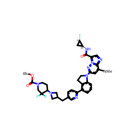 CNc1cc(N2CCc3c(-c4ccc(CC5CN(C6CCN(C(=O)OC(C)(C)C)CC6(F)F)C5)cn4)cccc32)nn2c(C(=O)N[C@@H]3C[C@@H]3F)cnc12